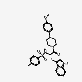 COc1ccc(N2CCN(C(=O)[C@H](Cc3c[nH]c4ccccc34)NS(=O)(=O)c3ccc(C)cc3)CC2)cc1